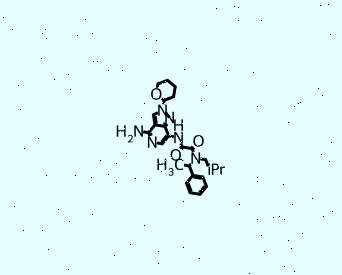 CC(C)CN(C(=O)C(=O)Nc1cnc(N)c2cn(C3CCCCO3)nc12)C(C)c1ccccc1